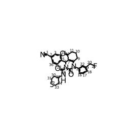 N#Cc1ccc(C2C3=C(CCCC3=O)N(c3cccc(CF)c3)C(=O)N2C(=O)NC2CCSCC2)cc1